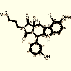 CNCCCN1C(=O)N2C(c3cccc(O)c3)c3[nH]c4ccc(OC)c(F)c4c3CC2(C)C1=O